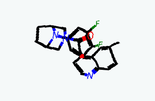 Cc1ccc2nccc(C(=O)N3CC4CCC(C3)N4c3ccc(F)c(F)c3)c2c1